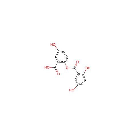 O=C(Oc1ccc(O)cc1C(=O)O)c1cc(O)ccc1O